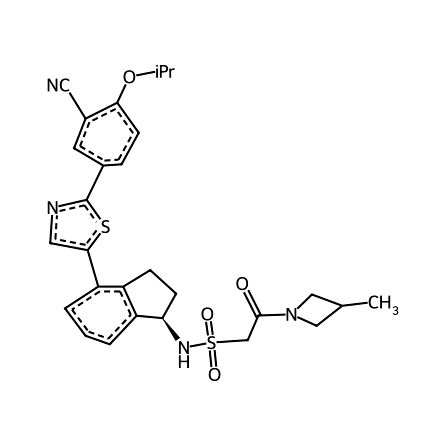 CC1CN(C(=O)CS(=O)(=O)N[C@@H]2CCc3c(-c4cnc(-c5ccc(OC(C)C)c(C#N)c5)s4)cccc32)C1